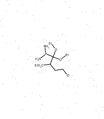 CCOC(=O)C(CCCl)C(OCC)(OCC)P(N)N